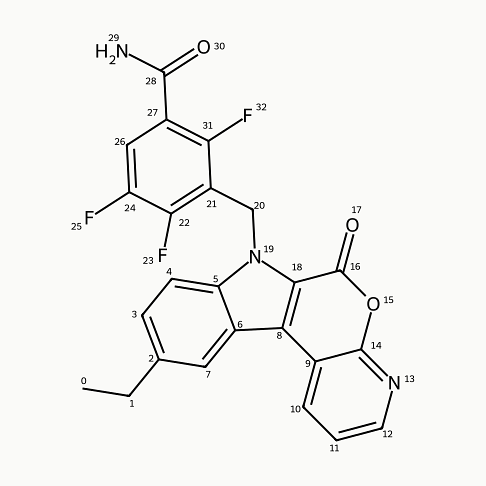 CCc1ccc2c(c1)c1c3cccnc3oc(=O)c1n2Cc1c(F)c(F)cc(C(N)=O)c1F